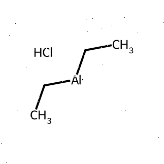 C[CH2][Al][CH2]C.Cl